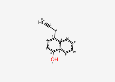 C#CCc1ccc(O)c2ccccc12